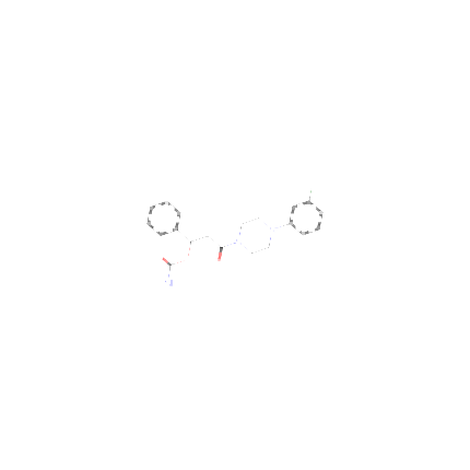 NC(=O)OC(CC(=O)N1CCN(c2cccc(F)c2)CC1)c1ccccc1